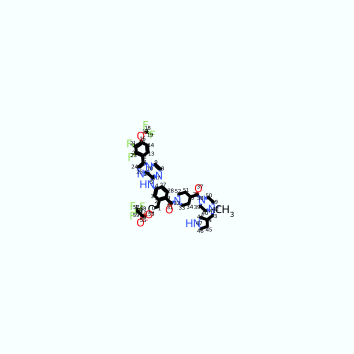 CCc1cc(Nc2nccn3c(-c4ccc(OC(F)F)c(F)c4F)cnc23)ccc1C(=O)N1CCC(C(=O)N2CC[N+](C)(CC3CCNC3)CC2)CC1.O=C([O-])C(F)(F)F